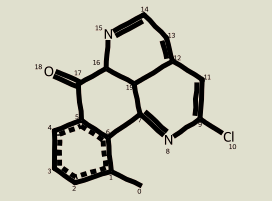 Cc1cccc2c1C1=NC(Cl)=CC3=CC=NC(C2=O)C31